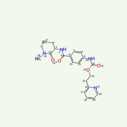 CC(C)CC(NC(=O)c1ccc(NC(=O)OCCc2ccccn2)cc1)C(=O)N(C)C#N